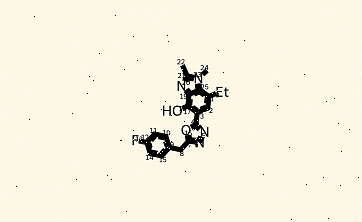 CCc1cc(-c2nnc(Cc3ccc(F)cc3)o2)c(O)c2nc(C)n(C)c12